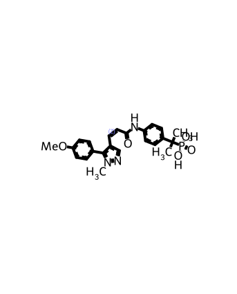 COc1ccc(-c2c(/C=C\C(=O)Nc3ccc(C(C)(C)P(=O)(O)O)cc3)cnn2C)cc1